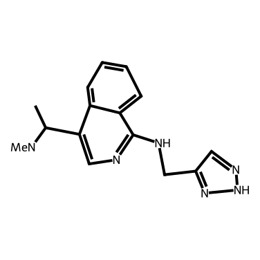 CNC(C)c1cnc(NCc2cn[nH]n2)c2ccccc12